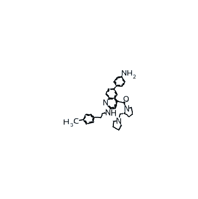 Cc1ccc(CCNc2cc(C(=O)N3CCC[C@H]3CN3CCCC3)c3cc(-c4ccc(N)cc4)ccc3n2)cc1